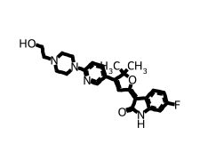 CC1(C)O/C(=C2/C(=O)Nc3cc(F)ccc32)C=C1c1ccc(N2CCN(CCO)CC2)nc1